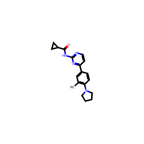 N#Cc1cc(-c2ccnc(NC(=O)C3CC3)n2)ccc1N1CCCC1